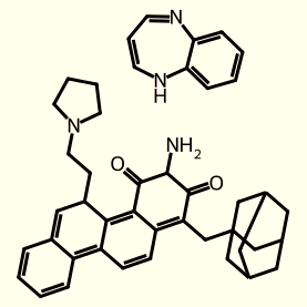 C1=CNc2ccccc2N=C1.NC1C(=O)C(CC23CC4CC(CC(C4)C2)C3)=c2ccc3c(c2C1=O)C(CCN1CCCC1)C=c1ccccc1=3